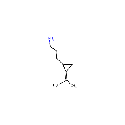 CC(C)=C1CC1CCCN